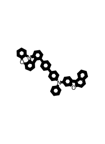 c1ccc(N(c2ccc(-c3ccc(-c4cccc5c4c4cccc6c4n5-c4ccccc4O6)cc3)cc2)c2ccc3c(c2)oc2ccc4ccccc4c23)cc1